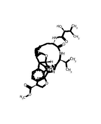 COC(=O)[C@@H]1COC(c2nc3oc2C24c5ccccc5N[C@H]2Oc2ccc(cc24)C[C@H](NC(=O)[C@@H](O)C(C)C)C(=O)N[C@H]3C(C)C)=N1